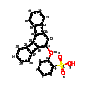 O=S(=O)(O)c1ccc[c]c1Oc1[c]c2c3ccccc3c2c2c3ccccc3c12